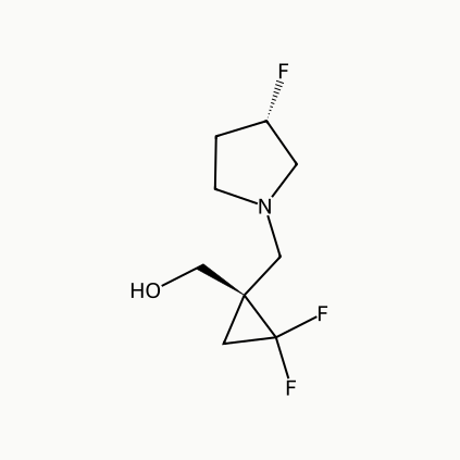 OC[C@]1(CN2CC[C@H](F)C2)CC1(F)F